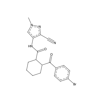 Cn1cc(NC(=O)C2CCCCC2C(=O)c2ccc(Br)cc2)c(C#N)n1